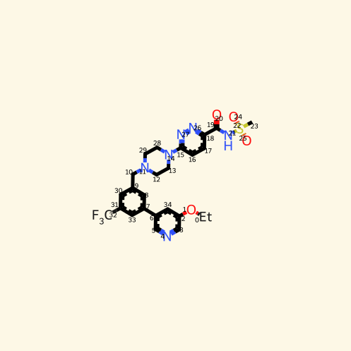 CCOc1cncc(-c2cc(CN3CCN(c4ccc(C(=O)NS(C)(=O)=O)nn4)CC3)cc(C(F)(F)F)c2)c1